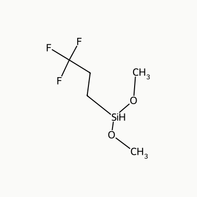 CO[SiH](CCC(F)(F)F)OC